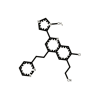 Cn1cncc1-c1cc(CCc2cccnn2)c2cc(CCC#N)c(Cl)cc2n1